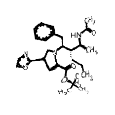 CCC[C@@H](C(C)NC(C)=O)[C@H](Cc1ccccc1)N1CC(c2ncco2)CC1C(=O)OC(C)(C)C